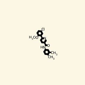 COc1ccc(Cl)cc1-c1ccc(C(=O)Nc2ccc(C)c(C)c2)cn1